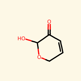 O=C1C=CCOC1O